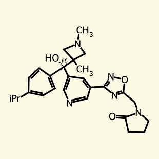 CC(C)c1ccc([C@](O)(c2cncc(-c3noc(CN4CCCC4=O)n3)c2)C2(C)CN(C)C2)cc1